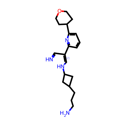 N=C/C(=C\NC1CC(CCCN)C1)c1cccc(C2CCOCC2)n1